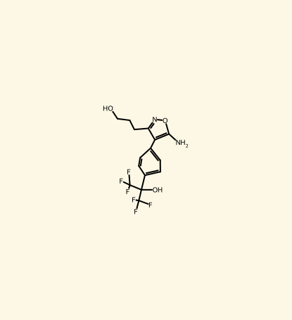 Nc1onc(CCCO)c1-c1ccc(C(O)(C(F)(F)F)C(F)(F)F)cc1